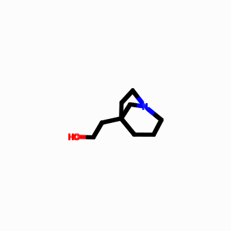 OCCC12CCCN(CC1)C2